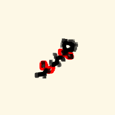 C=CC(=O)OCCCCOC(=O)C1CCCCC1